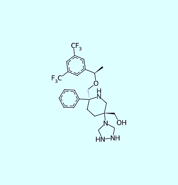 C[C@@H](OC[C@@]1(c2ccccc2)CC[C@@](CO)(N2CNNC2)CN1)c1cc(C(F)(F)F)cc(C(F)(F)F)c1